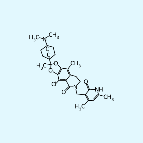 Cc1cc(C)c(CN2CCc3c(C)c4c(c(Cl)c3C2=O)OC(C)(C23CCC(N(C)C)(CC2)CC3)O4)c(=O)[nH]1